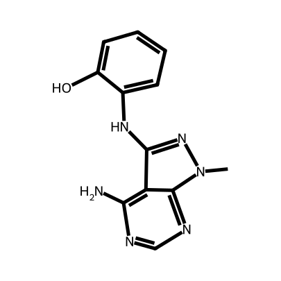 Cn1nc(Nc2ccccc2O)c2c(N)ncnc21